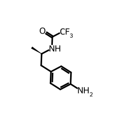 C[C@H](Cc1ccc(N)cc1)NC(=O)C(F)(F)F